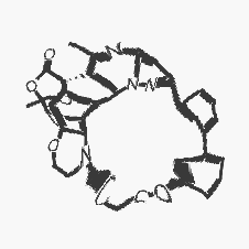 Cc1nc2cc3nn2c(c1[C@@H]1OC(C)(C)OC1=O)-c1ccc2c(c1Cl)N(CCCCOc1cccc(c1)-c1cccc-3c1)CCO2